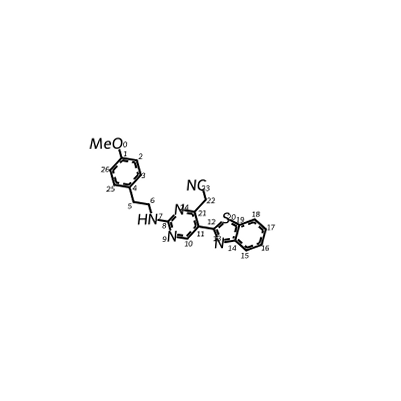 COc1ccc(CCNc2ncc(-c3nc4ccccc4s3)c(CC#N)n2)cc1